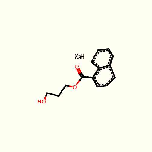 O=C(OCCCO)c1cccc2ccccc12.[NaH]